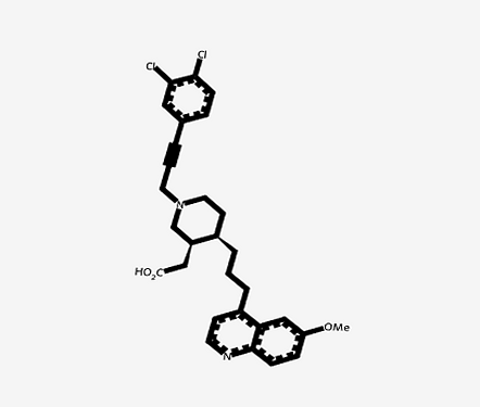 COc1ccc2nccc(CCC[C@@H]3CCN(CC#Cc4ccc(Cl)c(Cl)c4)C[C@@H]3CC(=O)O)c2c1